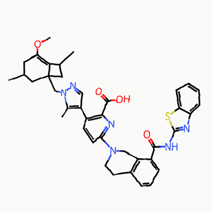 COC1=C2C(C)CC2(Cn2ncc(-c3ccc(N4CCc5cccc(C(=O)Nc6nc7ccccc7s6)c5C4)nc3C(=O)O)c2C)CC(C)C1